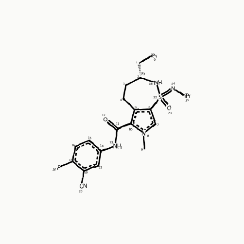 CC(C)C[C@H]1CCc2c(cn(C)c2C(=O)Nc2ccc(F)c(C#N)c2)S(=O)(=NC(C)C)N1